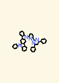 c1ccc(-c2cc(-c3ccccc3)nc(-c3cccc(-n4c5ccccc5c5cc6c(cc54)c4ccccc4n6-c4ccccc4)n3)n2)cc1